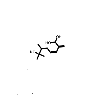 C=C(/C=C\CC(C)C(C)(C)C#N)C(O)O